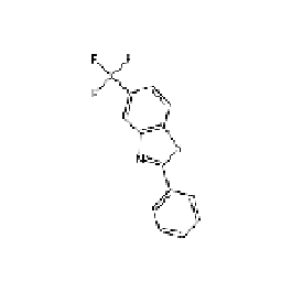 FC(F)(F)c1ccc2sc(-c3ccccc3)nc2c1